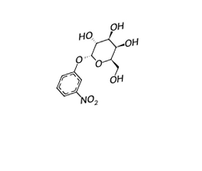 O=[N+]([O-])c1cccc(O[C@H]2O[C@H](CO)[C@H](O)[C@H](O)[C@H]2O)c1